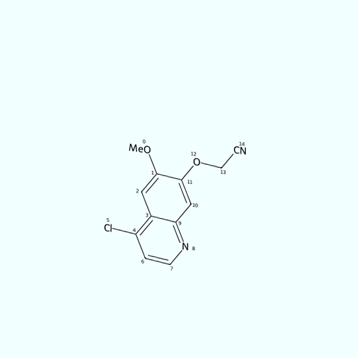 COc1cc2c(Cl)ccnc2cc1OCC#N